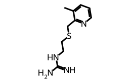 Cc1cccnc1CSCCNC(=N)N